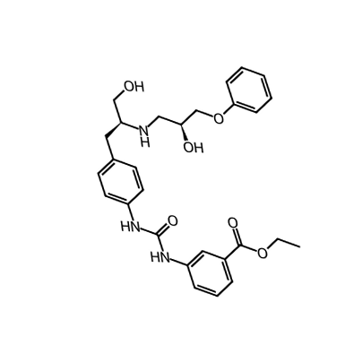 CCOC(=O)c1cccc(NC(=O)Nc2ccc(C[C@@H](CO)NC[C@H](O)COc3ccccc3)cc2)c1